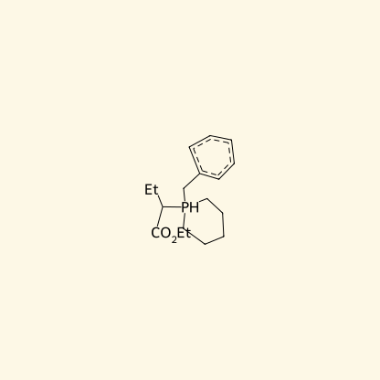 CCOC(=O)C(CC)[PH]1(Cc2ccccc2)CCCCC1